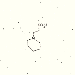 O=S(=O)(O)CCN1CCCCC1